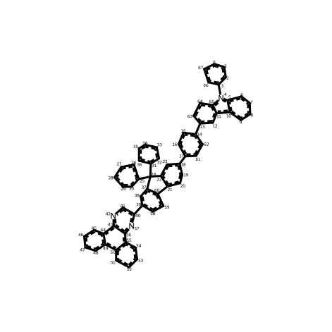 c1ccc(-n2c3ccccc3c3cc(-c4ccc(-c5ccc6c(c5)C(c5ccccc5)(c5ccccc5)c5cc(-c7cnc8c9ccccc9c9ccccc9c8n7)ccc5-6)cc4)ccc32)cc1